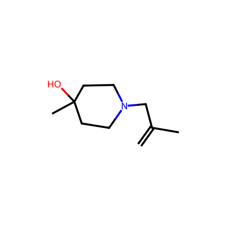 C=C(C)CN1CCC(C)(O)CC1